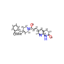 COc1ccccc1CC1=CCN(C(=O)/C=C/c2cnc3c(c2)CCC(=O)N3)CC1